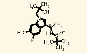 Cc1cc2c(cc1F)c([C@@H](C)N[S@@+]([O-])C(C)(C)C)cn2CC(C)(C)C